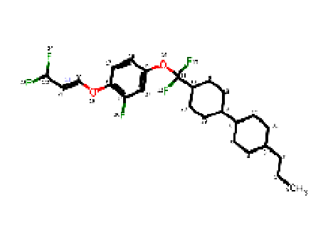 CCCC1CCC(C2CCC(C(F)(F)Oc3ccc(O/C=C/C(F)F)c(F)c3)CC2)CC1